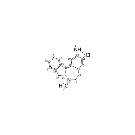 CN1CCC2C=C(Cl)C(N)=CC2C2c3ccccc3CC21